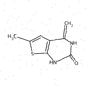 C=C1NC(=O)Nc2sc(C)cc21